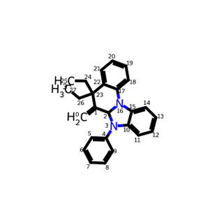 C=C1C2N(c3ccccc3)c3ccccc3N2c2ccccc2C1(CC)CC